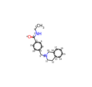 CCNC(=O)c1ccc(CN2CCc3ccccc3C2)cc1